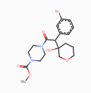 CC(C)(C)OC(=O)N1CCN(C(=O)C(c2cccc(Br)c2)C2(O)CCCOC2)CC1